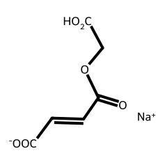 O=C([O-])C=CC(=O)OCC(=O)O.[Na+]